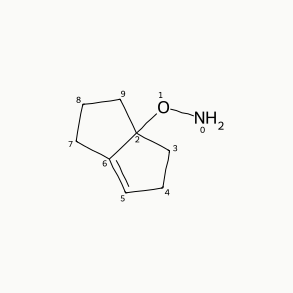 NOC12CCC=C1CCC2